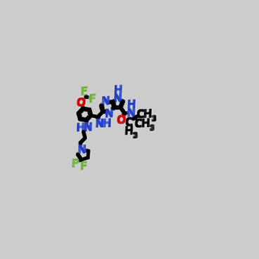 CC(C)(C)NC(=O)c1c[nH]c2ncc(C(=N)c3cc(OC(F)F)ccc3NCCCN3CCC(F)(F)C3)nc12